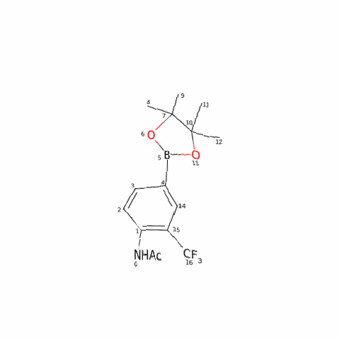 CC(=O)Nc1ccc(B2OC(C)(C)C(C)(C)O2)cc1C(F)(F)F